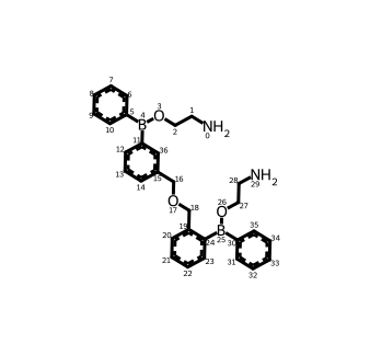 NCCOB(c1ccccc1)c1cccc(COCc2ccccc2B(OCCN)c2ccccc2)c1